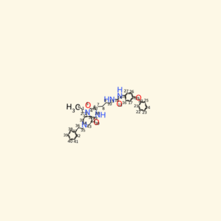 CCCN1C(=O)[C@H](CCCCNC(=O)Nc2ccc(Oc3ccccc3)cc2)NC(=O)C12CCN(CCc1ccccc1)CC2